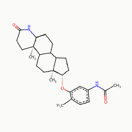 CC(=O)Nc1ccc(C)c(O[C@H]2CCC3C4CCC5NC(=O)CC[C@]5(C)C4CC[C@@]32C)c1